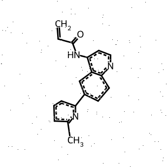 C=CC(=O)Nc1ccnc2ccc(-c3cccc(C)n3)cc12